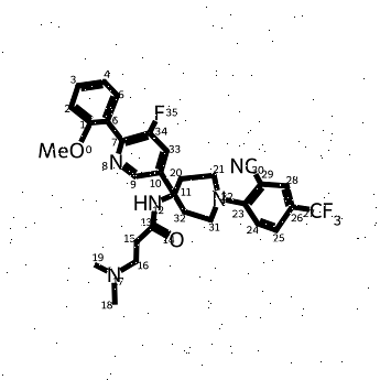 COc1ccccc1-c1ncc(C2(NC(=O)CCN(C)C)CCN(c3ccc(C(F)(F)F)cc3C#N)CC2)cc1F